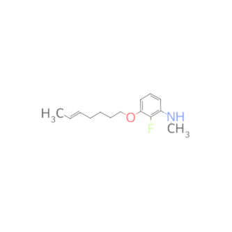 CC=CCCCCOc1cccc(NC)c1F